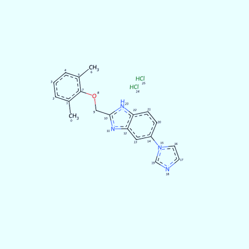 Cc1cccc(C)c1OCc1nc2cc(-n3ccnc3)ccc2[nH]1.Cl.Cl